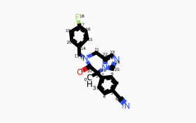 CC1(c2ccc(C#N)cc2)C(=O)N(Cc2ccc(F)cc2)Cc2cncn21